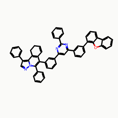 C1=Cc2c(-c3cccc(-c4cc(-c5cccc(-c6cccc7c6oc6ccccc67)c5)nc(-c5ccccc5)n4)c3)c(-c3ccccc3)n3ncc(-c4ccccc4)c3c2CC1